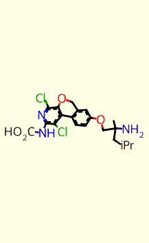 CC(C)CC(C)(N)COc1ccc2c(c1)COc1c(Cl)nc(NC(=O)O)c(Cl)c1-2